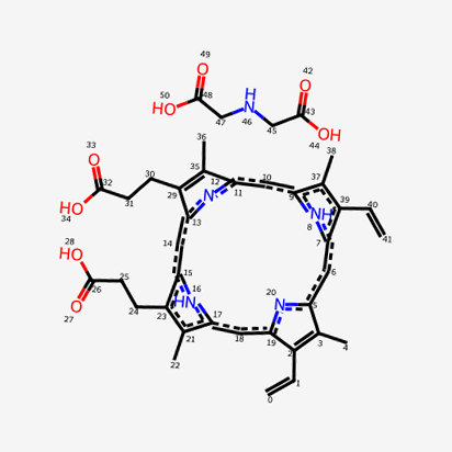 C=CC1=C(C)c2cc3[nH]c(cc4nc(cc5[nH]c(cc1n2)c(C)c5CCC(=O)O)C(CCC(=O)O)=C4C)c(C)c3C=C.O=C(O)CNCC(=O)O